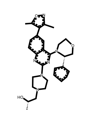 Cc1noc(C)c1-c1ccc2nc(N3CCN(C[C@H](C)O)CC3)nc(N3CCOC[C@@H]3c3ccccc3)c2c1